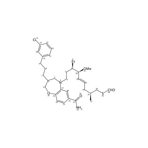 CC[C@H](CCN1CC(CCCc2cccc(Cl)c2)COc2ccc(C(N)=O)cc21)[C@H](/C=C/C[C@H](C)CSC=O)OC